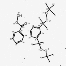 CC(C)(C)OOC(C)(C)c1cccc(C(C)(C)OOC(C)(C)C)c1.O=C(OO)c1ccccc1